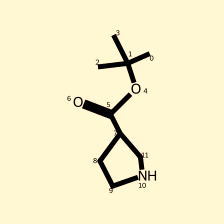 CC(C)(C)OC(=O)C1CCNC1